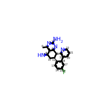 Cc1nc(N)nc2c1C(=N)C[C@H](c1ccc(F)cc1-c1cccnc1)C2